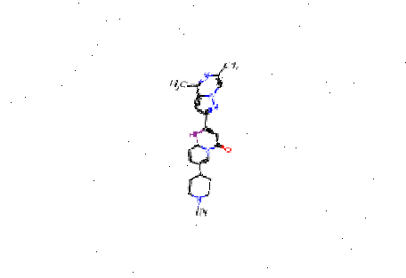 CCCN1CCC(C2=CN3C(=O)C=C(c4cc5c(C)nc(C)cn5n4)PC3C=C2)CC1